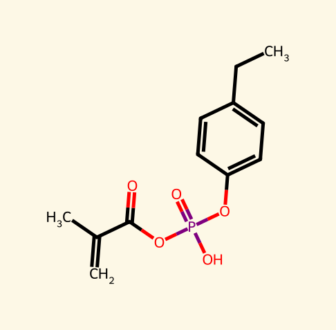 C=C(C)C(=O)OP(=O)(O)Oc1ccc(CC)cc1